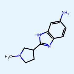 CN1CCC(c2nc3ccc(N)cc3[nH]2)C1